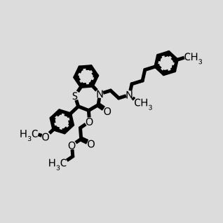 CCOC(=O)COC1C(=O)N(CCN(C)CCCc2ccc(C)cc2)c2ccccc2SC1c1ccc(OC)cc1